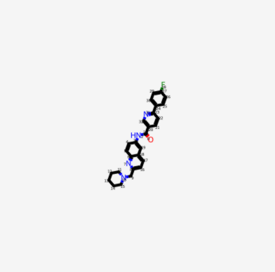 O=C(Nc1ccc2nc(CN3CCCCC3)ccc2c1)c1ccc(-c2ccc(F)cc2)nc1